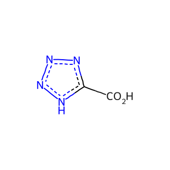 O=C(O)c1nnn[nH]1